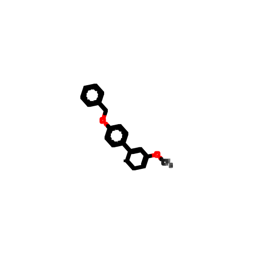 FC(F)(F)OC1=CC[CH]C(c2ccc(OCc3ccccc3)cc2)=C1